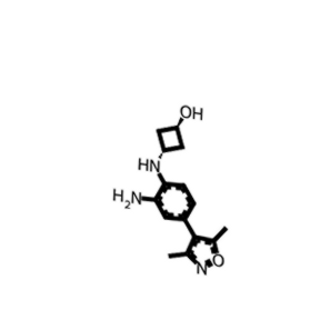 Cc1noc(C)c1-c1ccc(N[C@H]2C[C@H](O)C2)c(N)c1